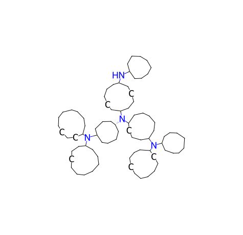 C1CCCCCC(N(C2CCCCCCCC2)C2CCCCCC(N(C3CCCCCC(NC4CCCCCCCC4)CCCC3)[C@@H]3CCCCC(N(C4CCCCCCCCCC4)C4CCCCCCCCCC4)CCC3)CCC2)CCCC1